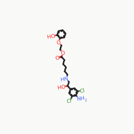 Nc1c(Cl)cc(C(O)CNCCCCCC(=O)OCCOc2ccccc2O)cc1Cl